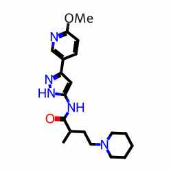 COc1ccc(-c2cc(NC(=O)C(C)CCN3CCCCC3)[nH]n2)cn1